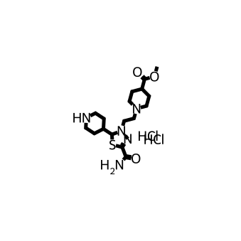 COC(=O)C1CCN(CCN2N=C(C(N)=O)SC2C2CCNCC2)CC1.Cl.Cl